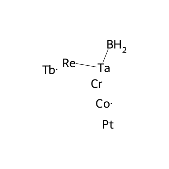 [BH2][Ta][Re].[Co].[Cr].[Pt].[Tb]